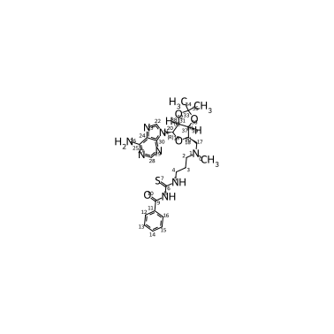 CN(CCCNC(=S)NC(=O)c1ccccc1)C[C@H]1O[C@@H](n2cnc3c(N)ncnc32)[C@@H]2OC(C)(C)O[C@@H]21